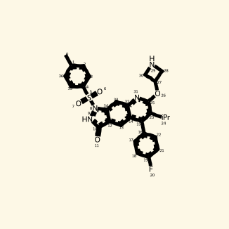 Cc1ccc(S(=O)(=O)n2[nH]c(=O)c3cc4c(-c5ccc(F)cc5)c(C(C)C)c(OC5CNC5)nc4cc32)cc1